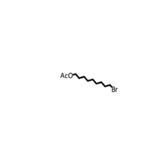 CC(=O)OCCCCCCCCCBr